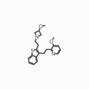 COc1cccnc1CCc1c(CCN2CC(OC)C2)sc2ccccc12